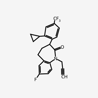 C#CCN1C(=O)C(c2ccc(C(F)(F)F)cc2C2CC2)CCc2cc(F)ccc21